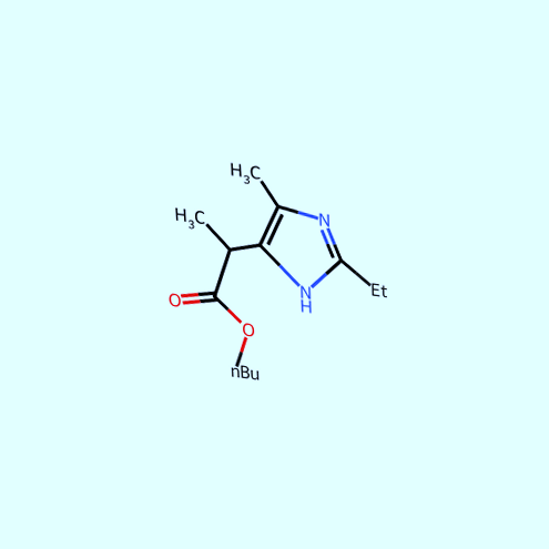 CCCCOC(=O)C(C)c1[nH]c(CC)nc1C